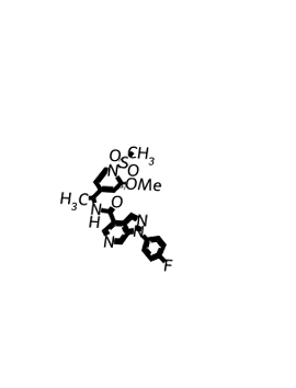 CO[C@H]1C=C(C(C)NC(=O)c2cncc3c2cnn3-c2ccc(F)cc2)C=CN1S(C)(=O)=O